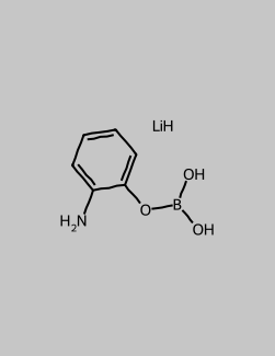 Nc1ccccc1OB(O)O.[LiH]